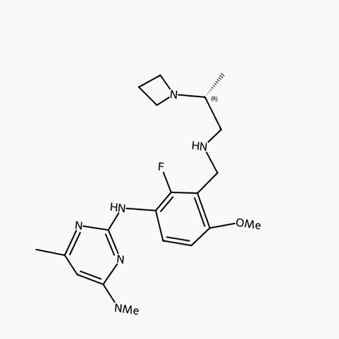 CNc1cc(C)nc(Nc2ccc(OC)c(CNC[C@@H](C)N3CCC3)c2F)n1